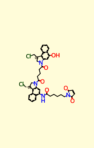 O=C(CCCCCN1C(=O)C=CC1=O)Nc1cc2c(c3ccccc13)[C@H](CCl)CN2C(=O)CCCC(=O)N1C[C@@H](CCl)c2c1cc(O)c1ccccc21